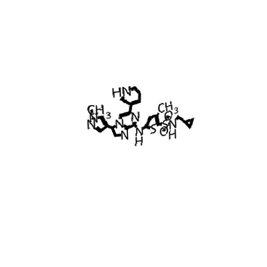 Cc1cc(NC2=NC(C3=CCCNC3)=CN3C2=NCC3c2cnn(C)c2)sc1S(=O)(=O)NCC1CC1